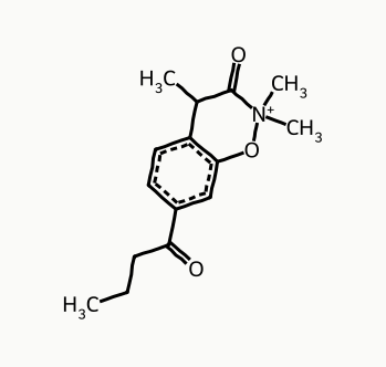 CCCC(=O)c1ccc2c(c1)O[N+](C)(C)C(=O)C2C